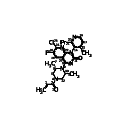 C=CC(=O)N1C[C@H](C)N(c2nc(=O)n(-c3c(C)ccnc3C(C)C)c3nc(Cl)c(F)cc23)[C@@H](C)C1